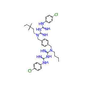 CCCCN(Cc1ccc(CN(CCC(C)(C)CC)C(=N)NC(=N)Nc2ccc(Cl)cc2)cc1)C(=N)NC(=N)Nc1ccc(Cl)cc1